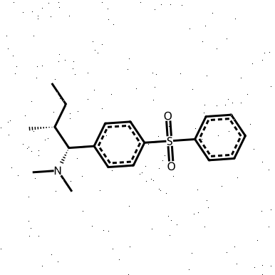 CC[C@@H](C)[C@H](c1ccc(S(=O)(=O)c2ccccc2)cc1)N(C)C